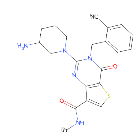 CC(C)NC(=O)c1csc2c(=O)n(Cc3ccccc3C#N)c(N3CCCC(N)C3)nc12